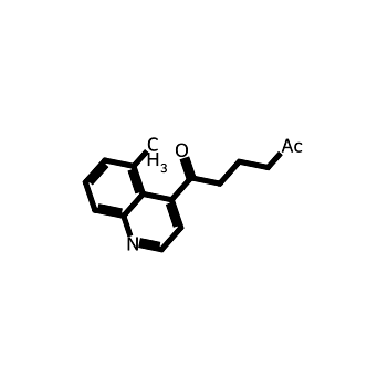 CC(=O)CCCC(=O)c1ccnc2cccc(C)c12